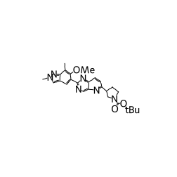 COc1c(-c2ncc3nc(C4CCN(C(=O)OC(C)(C)C)C4)ccc3n2)cc2cn(C)nc2c1C